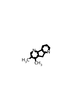 Cc1cnc2c(c1C)Cc1ncccc1-2